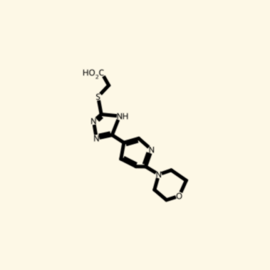 O=C(O)CSc1nnc(-c2ccc(N3CCOCC3)nc2)[nH]1